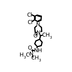 CC(C1CCC(NC(=O)N(C)C)CC1)[N+]1([O-])CCN(c2cccc(Cl)c2Cl)CC1